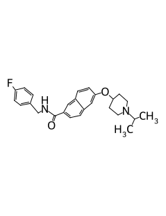 CC(C)N1CCC(Oc2ccc3cc(C(=O)NCc4ccc(F)cc4)ccc3c2)CC1